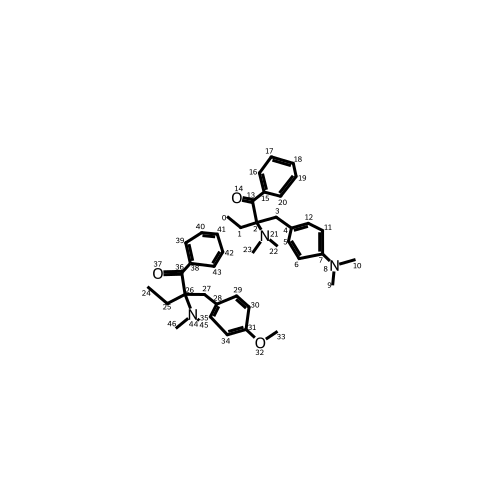 CCC(Cc1ccc(N(C)C)cc1)(C(=O)c1ccccc1)N(C)C.CCC(Cc1ccc(OC)cc1)(C(=O)c1ccccc1)N(C)C